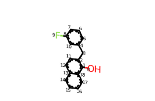 Oc1c(Cc2cccc(F)c2)ccc2ccccc12